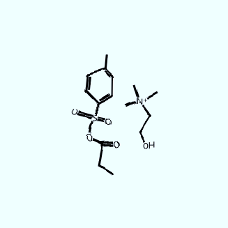 CCC(=O)OS(=O)(=O)c1ccc(C)cc1.C[N+](C)(C)CCO